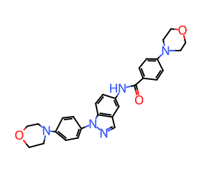 O=C(Nc1ccc2c(cnn2-c2ccc(N3CCOCC3)cc2)c1)c1ccc(N2CCOCC2)cc1